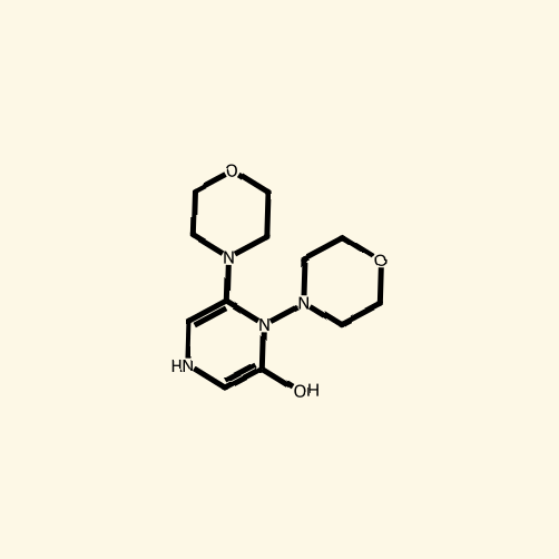 OC1=CNC=C(N2CCOCC2)N1N1CCOCC1